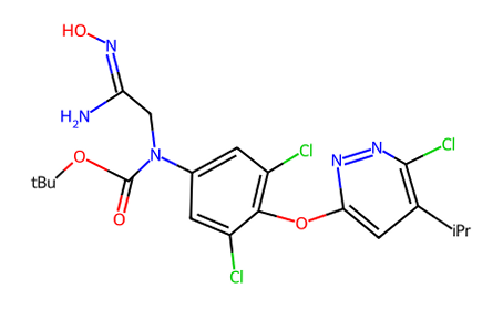 CC(C)c1cc(Oc2c(Cl)cc(N(C/C(N)=N/O)C(=O)OC(C)(C)C)cc2Cl)nnc1Cl